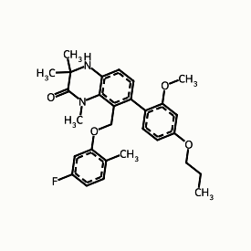 CCCOc1ccc(-c2ccc3c(c2COc2cc(F)ccc2C)N(C)C(=O)C(C)(C)N3)c(OC)c1